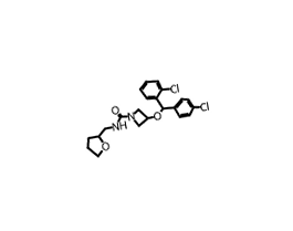 O=C(NCC1CCCO1)N1CC(OC(c2ccc(Cl)cc2)c2ccccc2Cl)C1